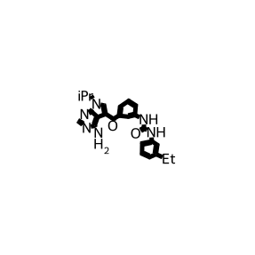 CCc1cccc(NC(=O)Nc2cccc(C(=O)c3cn(C(C)C)c4ncnc(N)c34)c2)c1